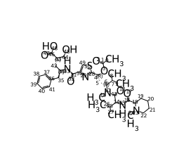 CC(=O)O[C@H](C[C@H](C(C)C)N(C)C(=O)C(NC(=O)C1CCCCN1C)C(C)C)c1nc(C(=O)N[C@@H](Cc2ccccc2)C[C@@H](CO)C(=O)O)cs1